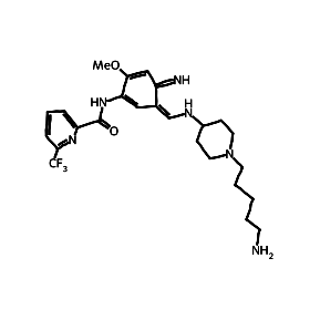 COC1=CC(=N)/C(=C\NC2CCN(CCCCCN)CC2)C=C1NC(=O)c1cccc(C(F)(F)F)n1